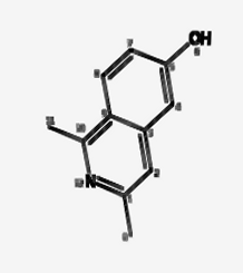 Cc1cc2cc(O)ccc2c(C)n1